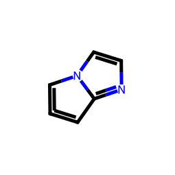 C1=Cc2nccn2C=1